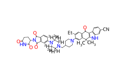 [2H]C1([2H])N(CC2CCN(c3cc4c(cc3CC)C(=O)c3c([nH]c5cc(C#N)ccc35)C4(C)C)CC2)C([2H])([2H])C([2H])([2H])N(c2ccc3c(c2)C(=O)N(C2CCC(=O)NC2=O)C3=O)C1([2H])[2H]